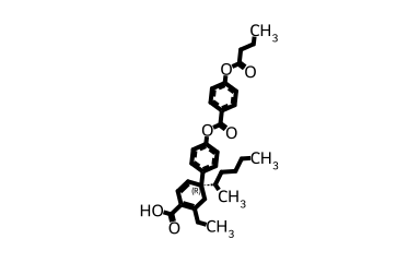 CCCCC(C)[C@@]1(c2ccc(OC(=O)c3ccc(OC(=O)CCC)cc3)cc2)C=CC(C(=O)O)=C(CC)C1